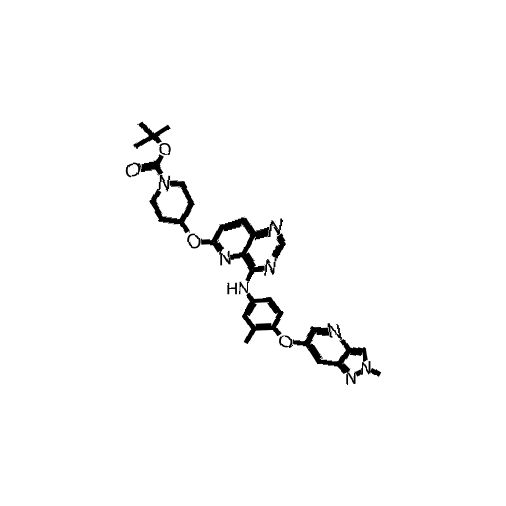 Cc1cc(Nc2ncnc3ccc(OC4CCN(C(=O)OC(C)(C)C)CC4)nc23)ccc1Oc1cnc2cn(C)nc2c1